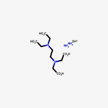 N.N.O=C(O)CN(CCN(CC(=O)O)CC(=O)O)CC(=O)O.[Zn+2]